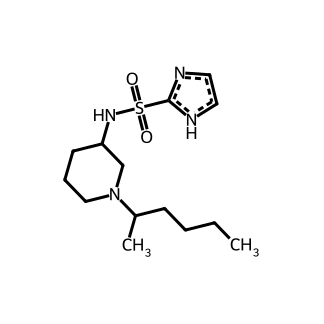 CCCCC(C)N1CCCC(NS(=O)(=O)c2ncc[nH]2)C1